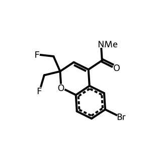 CNC(=O)C1=CC(CF)(CF)Oc2ccc(Br)cc21